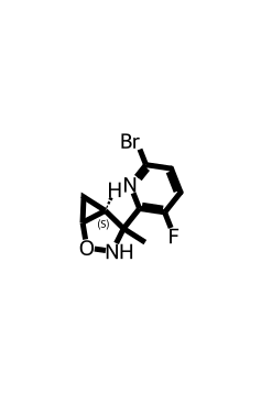 CC1(c2nc(Br)ccc2F)NOC2C[C@H]21